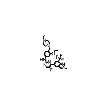 CCOc1cc(Nc2ncc(F)c(-c3cc(C(F)(F)F)c4nn(C)cc4c3)n2)ccc1CN1CCN(CC)CC1